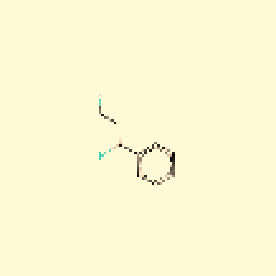 FCCC(F)c1c[c]ccc1